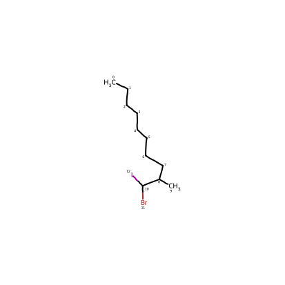 CCCCCCCCC(C)C(Br)I